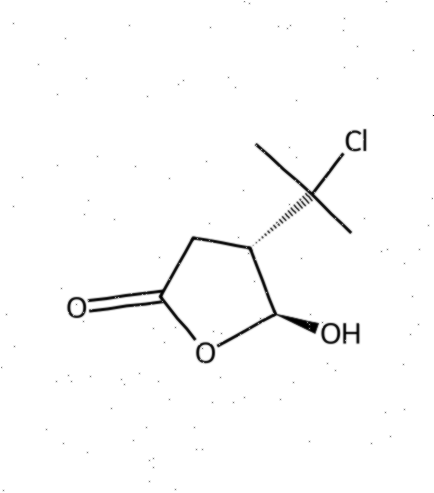 CC(C)(Cl)[C@H]1CC(=O)O[C@@H]1O